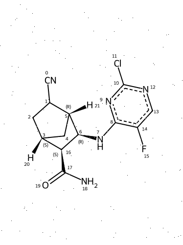 N#CC1C[C@@H]2C[C@H]1[C@@H](Nc1nc(Cl)ncc1F)[C@H]2C(N)=O